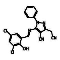 N#CCc1nn(-c2ccccc2)c(/N=C/c2cc(Cl)cc(Cl)c2O)c1C#N